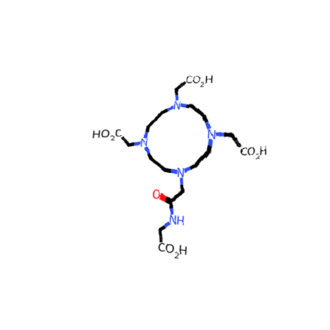 O=C(O)CNC(=O)CN1CCN(CC(=O)O)CCN(CC(=O)O)CCN(CC(=O)O)CC1